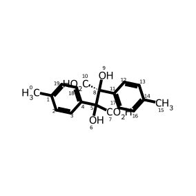 Cc1ccc(C(O)(C(=O)O)[C@](O)(C(=O)O)c2ccc(C)cc2)cc1